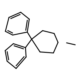 CC.c1ccc(C2(c3ccccc3)CCCCC2)cc1